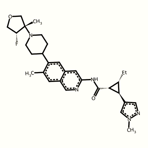 CC[C@H]1[C@@H](C(=O)Nc2cc3cc(C4CCN([C@@]5(C)COC[C@H]5F)CC4)c(C)cc3cn2)[C@@H]1c1cnn(C)c1